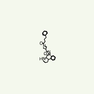 O=C(CCCc1ccccc1)N1CC(c2nnc(C3NCCCC3c3ccccc3)o2)C1